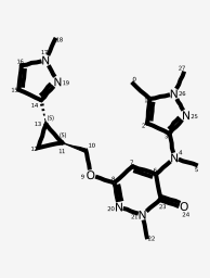 Cc1cc(N(C)c2cc(OC[C@H]3C[C@@H]3c3ccn(C)n3)nn(C)c2=O)nn1C